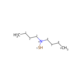 CCCCN(S)CCCC